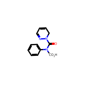 O=C(O)N(C(=O)N1CC=CC=N1)c1ccccc1